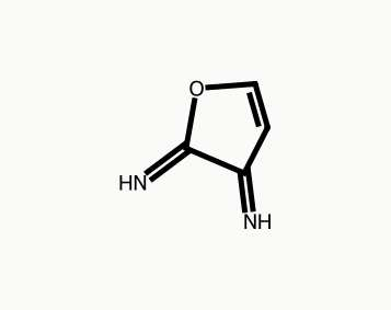 N=C1C=COC1=N